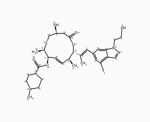 C/C(=C\c1cc(F)c2cnn(CCO)c2c1)[C@H]1OC(=O)C[C@H](O)CC[C@H](C)[C@H](OC(=O)N2CCN(C)CC2)/C=C/[C@@H]1C